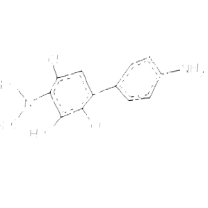 Cc1cc(-c2ccc(N)cc2)c(C)c(C)c1N(C)C